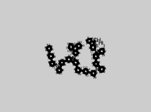 CC1(C)c2ccccc2-c2ccc(-n3c4ccccc4c4cc(-c5ccc6c(c5)c5ccccc5n6-c5cccc(-c6ccc(-c7cccc(-c8ccc9c(c8)c8cc(-c%10ccc%11c(c%10)c%10ccccc%10n%11-c%10cccc(-c%11ccc(-c%12ccccc%12)cc%11)c%10)ccc8n9-c8ccc9c%10ccccc%10c%10ccccc%10c9c8)c7)cc6)c5)ccc43)cc21